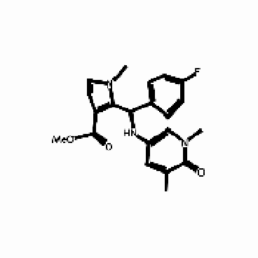 COC(=O)c1ccn(C)c1C(Nc1cc(C)c(=O)n(C)c1)c1ccc(F)cc1